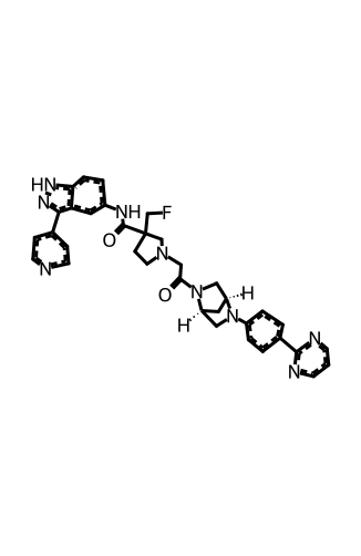 O=C(CN1CCC(CF)(C(=O)Nc2ccc3[nH]nc(-c4ccncc4)c3c2)C1)N1C[C@@H]2C[C@H]1CN2c1ccc(-c2ncccn2)cc1